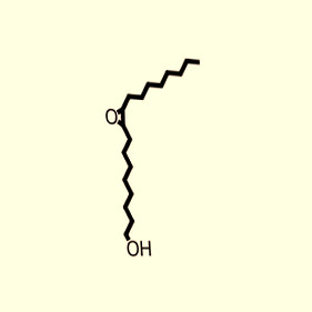 CCCCCCCCC1OC1CCCCCCCCO